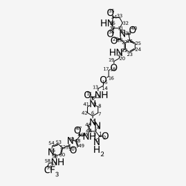 NC(=O)c1nn(C2CCN(C(=O)NCCOCCOCCNc3cccc4c3C(=O)N(C3CCC(=O)NC3=O)C4=O)CC2)cc1NC(=O)c1coc(-c2ccnc(NCC(F)(F)F)c2)n1